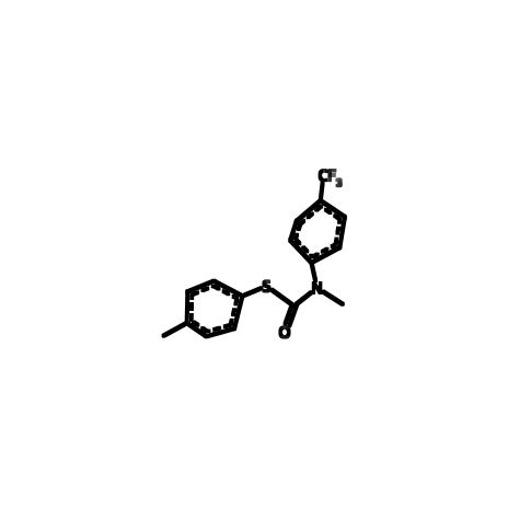 Cc1ccc(SC(=O)N(C)c2ccc(C(F)(F)F)cc2)cc1